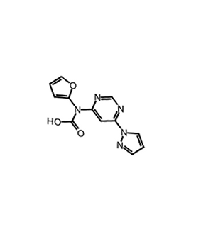 O=C(O)N(c1cc(-n2cccn2)ncn1)c1ccco1